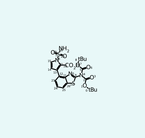 CC(C)(C)OC(=O)N(C(=O)OC(C)(C)C)c1nc2c(-c3ccn(S(N)(=O)=O)c3C(=O)O)cccc2s1